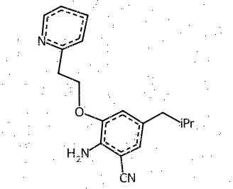 CC(C)Cc1cc(C#N)c(N)c(OCCc2ccccn2)c1